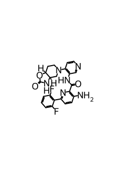 Nc1ccc(-c2c(F)cccc2F)nc1C(=O)Nc1cnccc1N1CC[C@H]2OC(=O)N[C@H]2C1